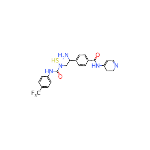 NC(CN(S)C(=O)Nc1ccc(C(F)(F)F)cc1)c1ccc(C(=O)Nc2ccncc2)cc1